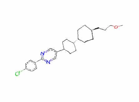 COCCC[C@H]1CC[C@H](C2CCC(c3cnc(-c4ccc(Cl)cc4)nc3)CC2)CC1